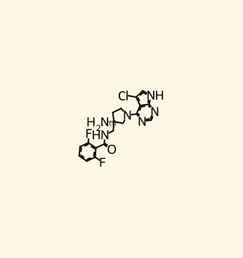 N[C@]1(CNC(=O)c2c(F)cccc2F)CCN(c2ncnc3[nH]cc(Cl)c23)C1